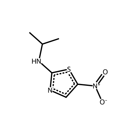 CC(C)Nc1ncc([N+](=O)[O-])s1